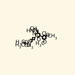 CNc1ncc2cc(-c3cc(OC)cc(OC)c3Cl)c(=O)n(C3CC4(C3)CN(C(=O)OC(C)(C)C)C4)c2n1